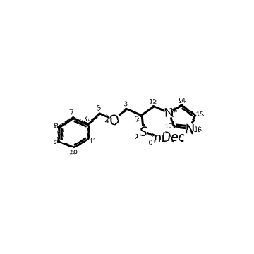 CCCCCCCCCCSC(COCc1ccccc1)Cn1ccnc1